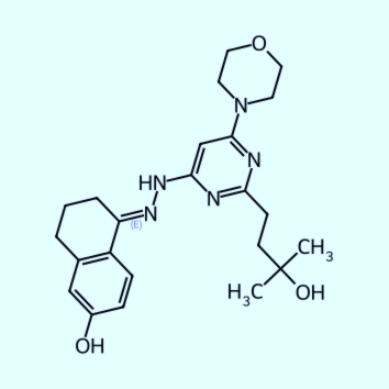 CC(C)(O)CCc1nc(N/N=C2\CCCc3cc(O)ccc32)cc(N2CCOCC2)n1